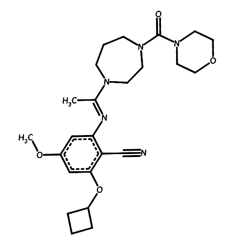 COc1cc(N=C(C)N2CCCN(C(=O)N3CCOCC3)CC2)c(C#N)c(OC2CCC2)c1